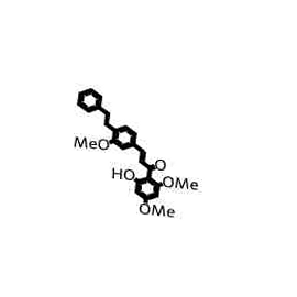 COc1cc(O)c(C(=O)/C=C/c2ccc(CCc3ccccc3)c(OC)c2)c(OC)c1